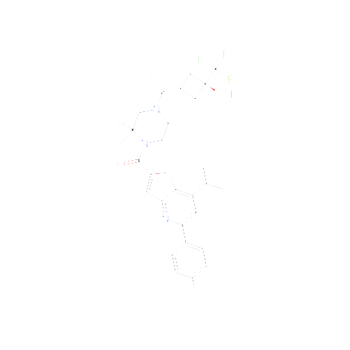 CC(C)c1cc(-c2ccc(F)cc2)nc2cc(C(=O)N3CCN(C(=O)[C@H]4C[C@@](O)(C(F)(F)F)C4)CC3(C)C)oc12